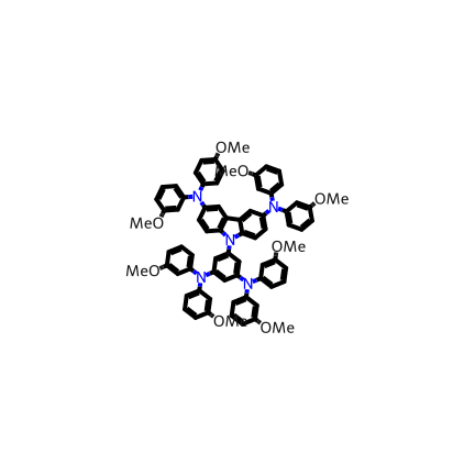 COc1ccc(N(c2cccc(OC)c2)c2ccc3c(c2)c2cc(N(c4cccc(OC)c4)c4cccc(OC)c4)ccc2n3-c2cc(N(c3cccc(OC)c3)c3cccc(OC)c3)cc(N(c3cccc(OC)c3)c3cccc(OC)c3)c2)cc1